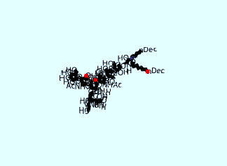 CCCCCCCCCCCCC/C=C/[C@@H](O)[C@H](CO[C@@H]1OC(CO)[C@@H](O[C@@H]2OC(CO)[C@H](O[C@@H]3OC(CO)[C@H](O)[C@H](O[C@@H]4OC(CO)[C@H](O[C@@H]5OC(CO)[C@H](O)[C@H](O[C@@H]6OC(CO)[C@H](O)[C@H](O)C6O)C5NC(C)=O)[C@H](O[C@]5(C(=O)O)CC(O)[C@@H](NC(=O)CO)C([C@H](O)[C@H](O)CO)O5)C4O)C3NC(C)=O)[C@H](O)C2O)[C@H](O)C1O)NC(=O)CCCCCCCCCCCCCCCCC